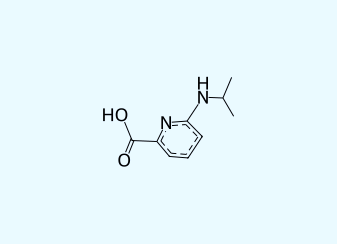 CC(C)Nc1cccc(C(=O)O)n1